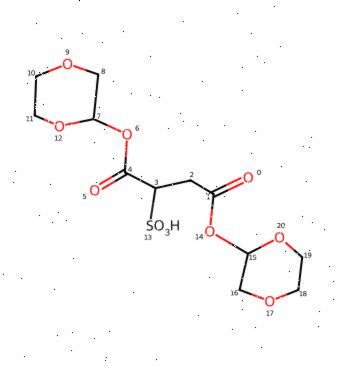 O=C(CC(C(=O)OC1COCCO1)S(=O)(=O)O)OC1COCCO1